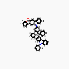 c1ccc(-n2c3ccccc3c3cc([Si](c4ccccc4)(c4ccccc4)c4ccc(-n5c6ccccc6c6cc7oc8ccccc8c7cc65)cc4)ccc32)cc1